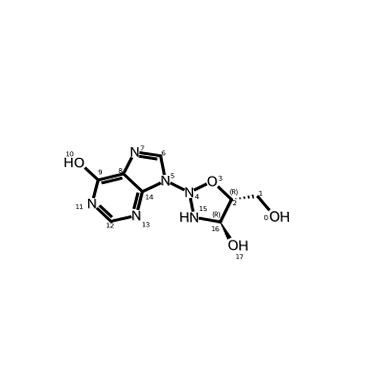 OC[C@H]1ON(n2cnc3c(O)ncnc32)N[C@@H]1O